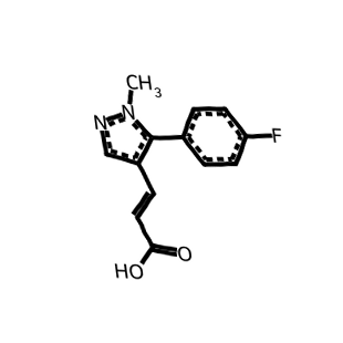 Cn1ncc(/C=C/C(=O)O)c1-c1ccc(F)cc1